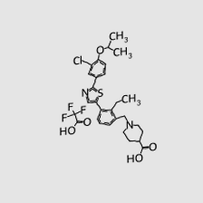 CCc1c(CN2CCC(C(=O)O)CC2)cccc1-c1cnc(-c2ccc(OC(C)C)c(Cl)c2)s1.O=C(O)C(F)(F)F